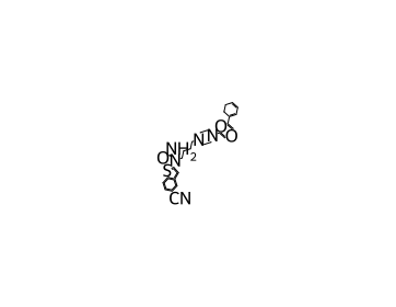 N#Cc1ccc2sc(N(CCCCN3CCN(C4=COC=C(C5=CC=CCC5)O4)CC3)C(N)=O)cc2c1